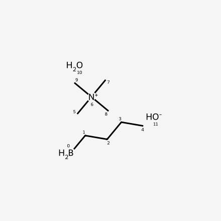 BCCCC.C[N+](C)(C)C.O.[OH-]